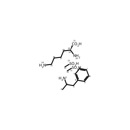 CC(N)Cc1ccccc1.CS(=O)(=O)O.CS(=O)(=O)O.NCCCC[C@H](N)C(=O)O